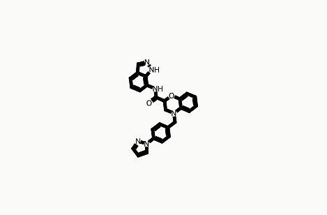 O=C(Nc1cccc2cn[nH]c12)C1CN(Cc2ccc(-n3cccn3)cc2)c2ccccc2O1